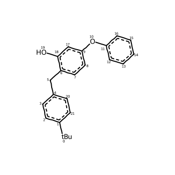 CC(C)(C)c1ccc(Cc2ccc(Oc3ccccc3)cc2O)cc1